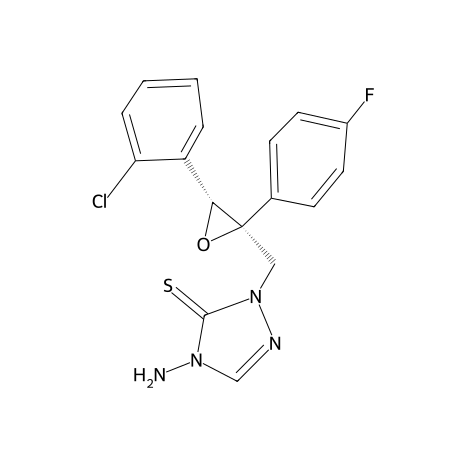 Nn1cnn(C[C@]2(c3ccc(F)cc3)O[C@@H]2c2ccccc2Cl)c1=S